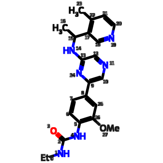 CCNC(=O)Nc1ccc(-c2cncc(NC(C)c3cnccc3C)n2)cc1OC